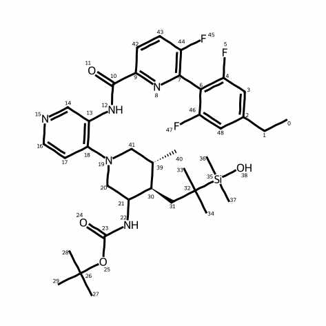 CCc1cc(F)c(-c2nc(C(=O)Nc3cnccc3N3CC(NC(=O)OC(C)(C)C)[C@H](CC(C)(C)[Si](C)(C)O)[C@@H](C)C3)ccc2F)c(F)c1